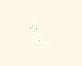 CC(C)(C)OC(=O)N1CCC(C)(c2ccc(C(F)F)cc2)CC1